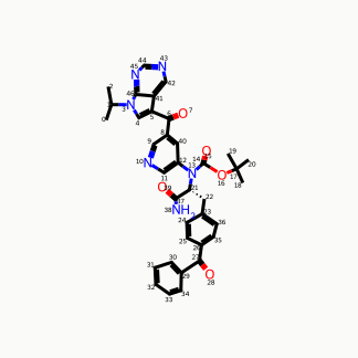 CC(C)n1cc(C(=O)c2cncc(N(C(=O)OC(C)(C)C)[C@H](Cc3ccc(C(=O)c4ccccc4)cc3)C(N)=O)c2)c2cncnc21